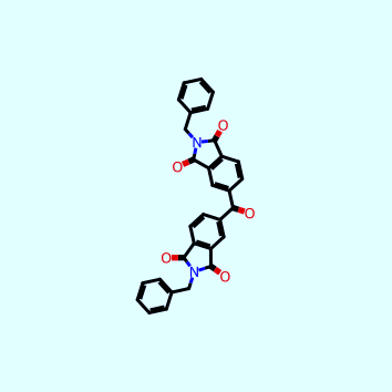 O=C(c1ccc2c(c1)C(=O)N(Cc1ccccc1)C2=O)c1ccc2c(c1)C(=O)N(Cc1ccccc1)C2=O